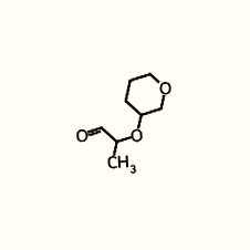 CC(C=O)OC1CCCOC1